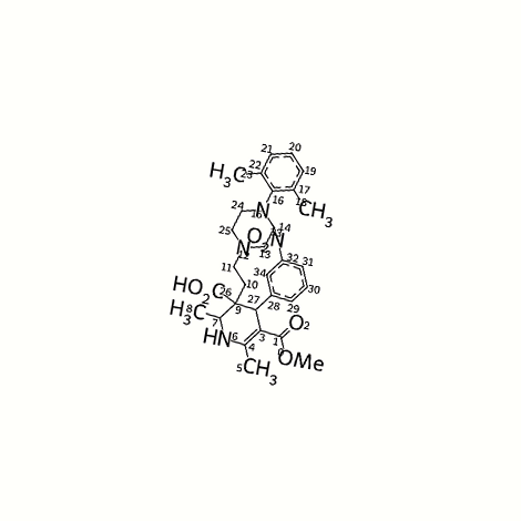 COC(=O)C1=C(C)NC(C)C(CCN2CCN(c3c(C)cccc3C)CC2)(C(=O)O)C1c1cccc([N+](=O)[O-])c1